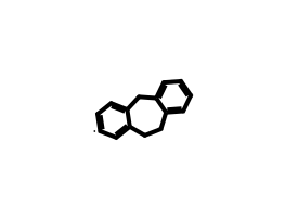 [c]1ccc2c(c1)CCc1ccccc1C2